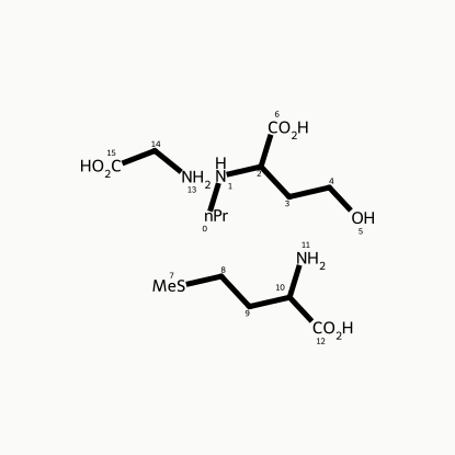 CCCNC(CCO)C(=O)O.CSCCC(N)C(=O)O.NCC(=O)O